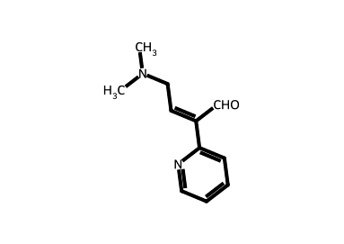 CN(C)CC=C(C=O)c1ccccn1